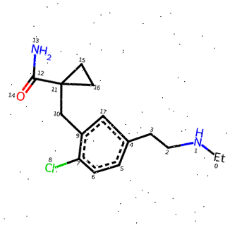 CCNCCc1ccc(Cl)c(CC2(C(N)=O)CC2)c1